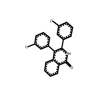 O=c1[nH]c(-c2cccc(Cl)c2)c(-c2cccc(Cl)c2)c2ccccc12